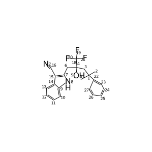 CC(C)(CC(O)(Cc1[nH]c2ccccc2c1C#N)C(F)(F)F)c1ccccc1